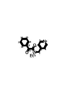 CCN(Cc1ccncc1)C(=O)C(=O)c1ccccc1